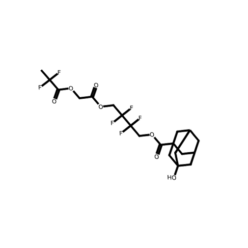 CC(F)(F)C(=O)OCC(=O)OCC(F)(F)C(F)(F)COC(=O)C12CC3CC(CC(O)(C3)C1)C2